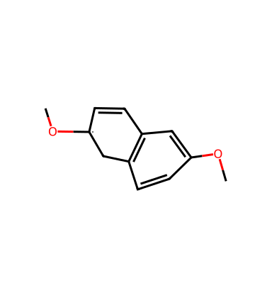 CO[C]1C=Cc2cc(OC)ccc2C1